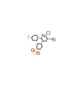 CS(=O)(=O)c1ccc(-c2cc(C#N)c(Cl)nc2-c2ccc(F)cc2)cc1